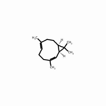 C/C1=C/[C@H]2[C@@H](CC/C(C)=C/CC1)C2(C)C